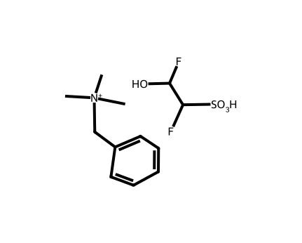 C[N+](C)(C)Cc1ccccc1.O=S(=O)(O)C(F)C(O)F